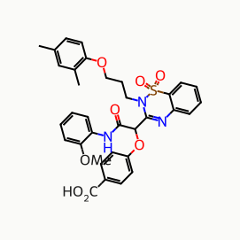 COc1ccccc1NC(=O)C(Oc1ccc(C(=O)O)cc1)C1=Nc2ccccc2S(=O)(=O)N1CCCOc1ccc(C)cc1C